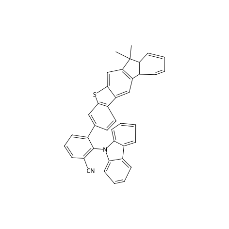 CC1(C)c2cc3sc4cc(-c5cccc(C#N)c5-n5c6ccccc6c6ccccc65)ccc4c3cc2C2C=CC=CC21